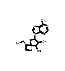 Nc1ncnc2c1ncn2C1O[C@@]2(CC[C@H]2CO)C(O)C1O